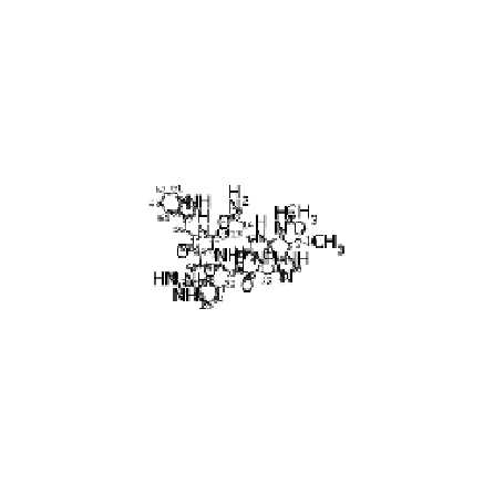 CCCC[C@H](NC(C)=O)C(=O)N[C@@H](CCC(N)=O)C(=O)N[C@@H](Cc1c[nH]cn1)C(=O)N[C@H](Cc1ccccc1)C(=O)N[C@@H](CCCNC(=N)N)C(=O)N[C@@H]([C]=O)Cc1c[nH]c2ccccc12